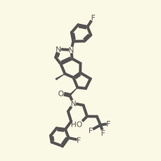 C[C@@H]1C2=C(CC[C@H]2C(=O)N(CCc2ccccc2F)CC(O)CC(F)(F)F)Cc2c1cnn2-c1ccc(F)cc1